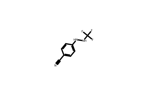 N#Cc1ccc(NNC(F)(F)F)cc1